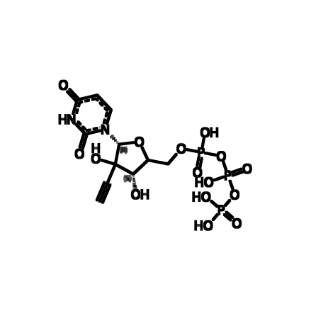 C#CC1(O)[C@@H](O)C(COP(=O)(O)OP(=O)(O)OP(=O)(O)O)O[C@H]1n1ccc(=O)[nH]c1=O